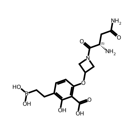 NC(=O)C[C@H](N)C(=O)N1CC(Oc2ccc(CCB(O)O)c(O)c2C(=O)O)C1